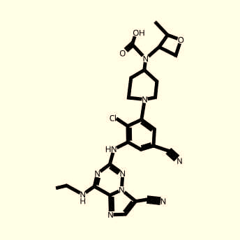 CCNc1nc(Nc2cc(C#N)cc(N3CCC(N(C(=O)O)C4COC4C)CC3)c2Cl)nn2c(C#N)cnc12